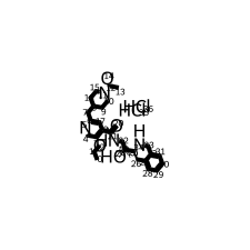 CCOc1cnc(CC2CCN(C(C)=O)CC2)cc1C(=O)NC[C@@H](O)[C@@H]1Cc2ccccc2CN1.Cl.Cl